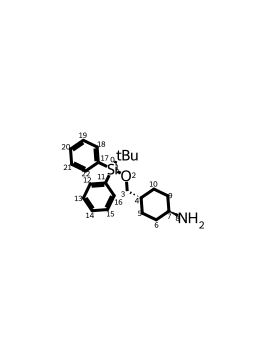 CC(C)(C)[Si](OC[C@H]1CC[C@H](N)CC1)(c1ccccc1)c1ccccc1